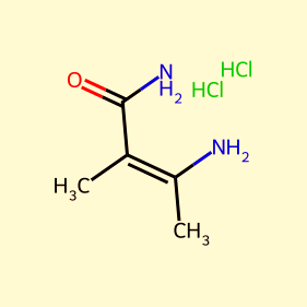 C/C(N)=C(\C)C(N)=O.Cl.Cl